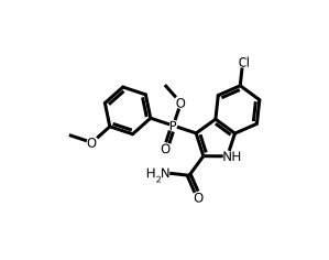 COc1cccc(P(=O)(OC)c2c(C(N)=O)[nH]c3ccc(Cl)cc23)c1